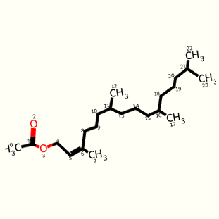 CC(=O)OCC=C(C)CCCC(C)CCCC(C)CCCC(C)C